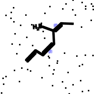 BC(/C=C\C=C)=C/C